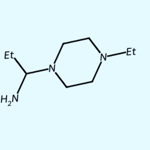 CCC(N)N1CCN(CC)CC1